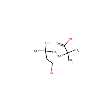 CC(C)(C)C(=O)O.CC(C)(O)CCO